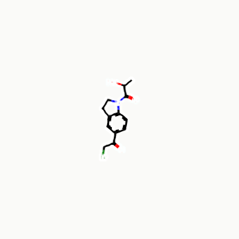 CC(O)C(=O)N1CCc2cc(C(=O)CBr)ccc21